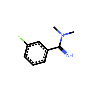 CN(C)C(=N)c1cccc(F)c1